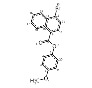 COc1ccc(OC(=O)c2ccc(Br)c3ccccc23)cc1